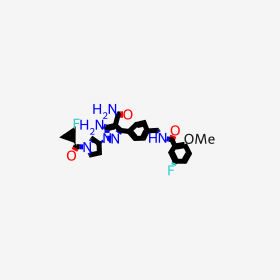 COc1ccc(F)cc1C(=O)NCc1ccc(-c2nn([C@H]3CCN(C(=O)[C@@H]4C[C@@H]4F)C3)c(N)c2C(N)=O)cc1